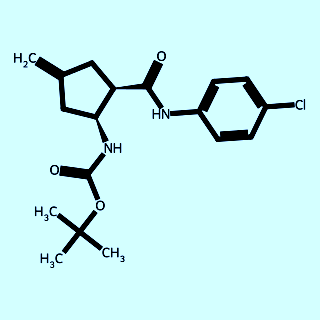 C=C1C[C@H](NC(=O)OC(C)(C)C)[C@H](C(=O)Nc2ccc(Cl)cc2)C1